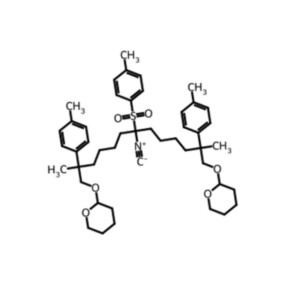 [C-]#[N+]C(CCCCC(C)(COC1CCCCO1)c1ccc(C)cc1)(CCCCC(C)(COC1CCCCO1)c1ccc(C)cc1)S(=O)(=O)c1ccc(C)cc1